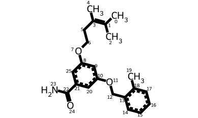 CC(C)=C(C)CCOc1cc(OCc2ccccc2C)cc(C(N)=O)c1